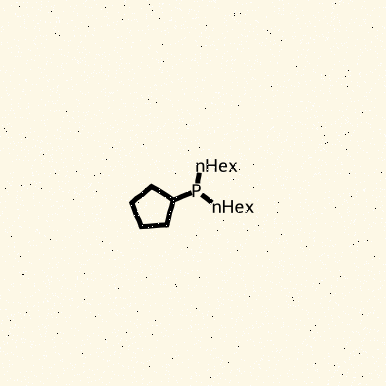 CCCCCCP(CCCCCC)C1CCCC1